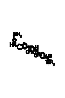 CC(C)(N)C(=O)N1CCN(C(=O)Nc2ccn(-c3ccc4c(c3)CCC(N[C@H]3C[C@H](CN)C3)C4)c(=O)n2)CC1